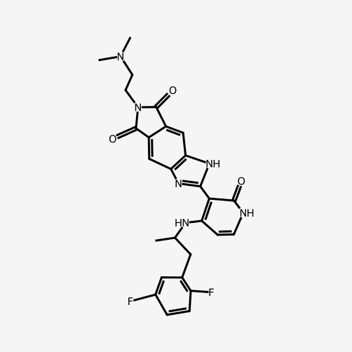 CC(Cc1cc(F)ccc1F)Nc1cc[nH]c(=O)c1-c1nc2cc3c(cc2[nH]1)C(=O)N(CCN(C)C)C3=O